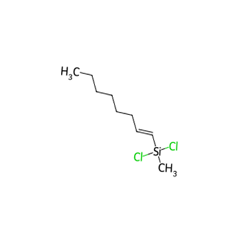 CCCCCCC=C[Si](C)(Cl)Cl